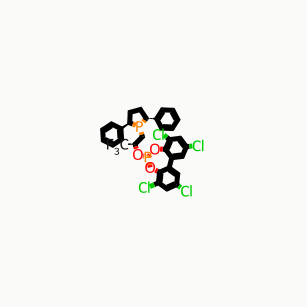 FC(F)(F)[C@H](CP1[C@@H](c2ccccc2)CC[C@@H]1c1ccccc1)Op1oc2c(Cl)cc(Cl)cc2c2cc(Cl)cc(Cl)c2o1